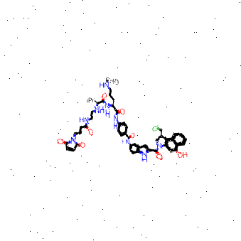 CC(C)[C@H](NCCNC(=O)CCCN1C(=O)C=CC1=O)C(=O)N[C@@H](CCCNC=O)C(=O)Nc1ccc(C(=O)Nc2ccc3[nH]c(C(=O)N4C[C@@H](CCl)c5c4cc(O)c4ccccc54)cc3c2)cc1